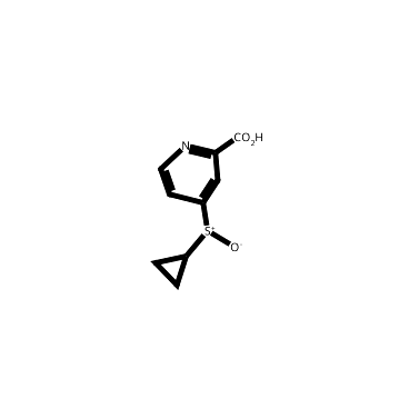 O=C(O)c1cc([S+]([O-])C2CC2)ccn1